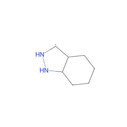 [CH]1NNC2CCCCC12